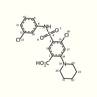 O=C(O)c1cc(S(=O)(=O)Nc2cccc(Cl)c2)c(Cl)cc1N1CCCCC1